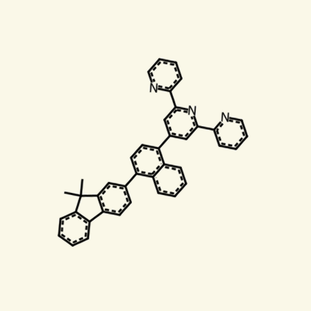 CC1(C)c2ccccc2-c2ccc(-c3ccc(-c4cc(-c5ccccn5)nc(-c5ccccn5)c4)c4ccccc34)cc21